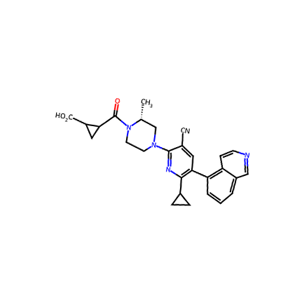 C[C@@H]1CN(c2nc(C3CC3)c(-c3cccc4cnccc34)cc2C#N)CCN1C(=O)C1CC1C(=O)O